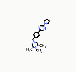 C[C@@H]1CN(Cc2ccc(-c3cnc(N4CCCC4)cn3)cc2)C[C@H](C)N1C